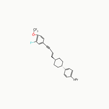 CCCc1ccc([C@H]2CC[C@H](/C=C/C#Cc3ccc(OC(F)(F)F)c(F)c3)CC2)cc1